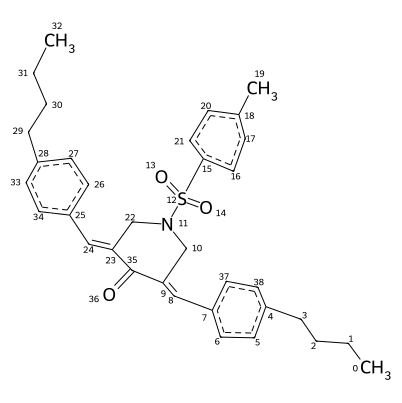 CCCCc1ccc(/C=C2\CN(S(=O)(=O)c3ccc(C)cc3)C/C(=C\c3ccc(CCCC)cc3)C2=O)cc1